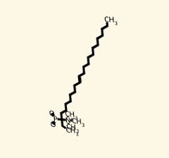 CCCCCCCCCCCCC=CCCCCCCCC(CC)(P(=O)=O)[N+](C)(C)C